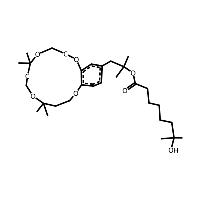 CC(C)(O)CCCCCC(=O)OC(C)(C)Cc1ccc2c(c1)OCCOC(C)(C)CCOC(C)(C)CCO2